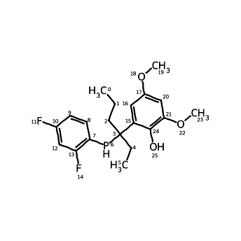 CCCC(CC)(Pc1ccc(F)cc1F)c1cc(OC)cc(OC)c1O